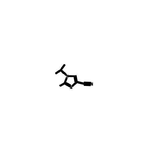 Cc1nc(C#N)cn1C(C)C